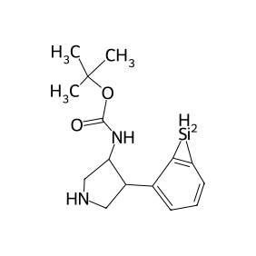 CC(C)(C)OC(=O)NC1CNCC1c1cccc2c1[SiH2]2